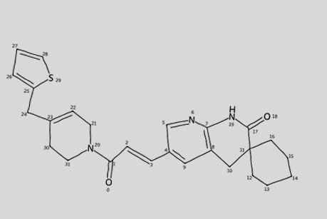 O=C(/C=C/c1cnc2c(c1)CC1(CCCCC1)C(=O)N2)N1CC=C(Cc2cccs2)CC1